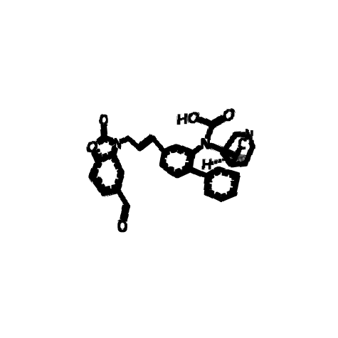 O=Cc1ccc2oc(=O)n(CC=Cc3ccc(-c4ccccc4)c(N(C(=O)O)[C@H]4CN5CCC4CC5)c3)c2c1